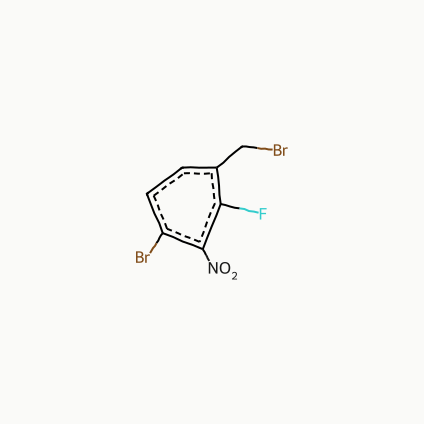 O=[N+]([O-])c1c(Br)ccc(CBr)c1F